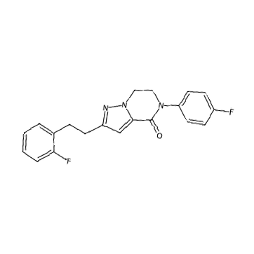 O=C1c2cc(CCc3ccccc3F)nn2CCN1c1ccc(F)cc1